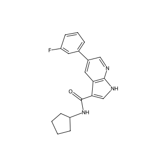 O=C(NC1CCCC1)c1c[nH]c2ncc(-c3cccc(F)c3)cc12